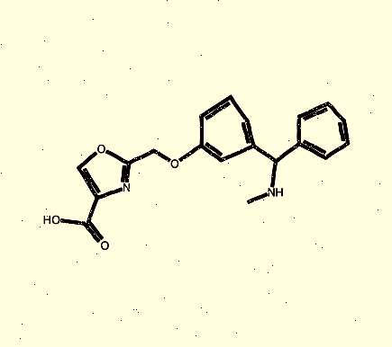 CNC(c1ccccc1)c1cccc(OCc2nc(C(=O)O)co2)c1